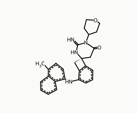 Cc1ccc(Nc2cccc3c2C[C@]32CC(=O)N(C3CCOCC3)C(=N)N2)c2ccccc12